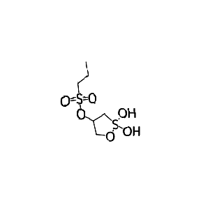 CCCS(=O)(=O)OC1COS(O)(O)C1